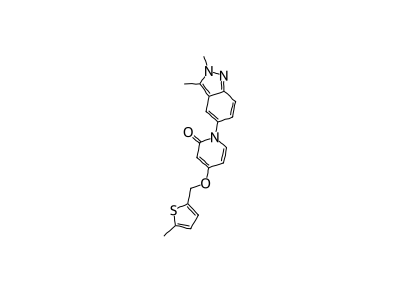 Cc1ccc(COc2ccn(-c3ccc4nn(C)c(C)c4c3)c(=O)c2)s1